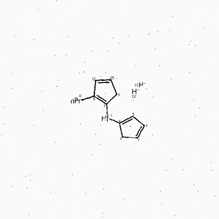 CCCC1=[C]([Hf][C]2=CC=CC2)CC=C1.[H-].[H-]